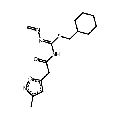 C=N/N=C(/NC(=O)Cc1cc(C)no1)SCC1CCCCC1